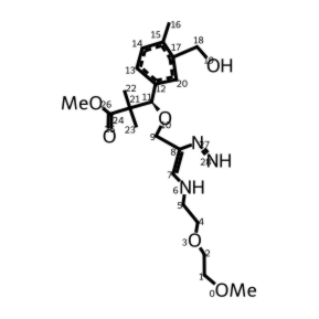 COCCOCCN/C=C(/CO[C@H](c1ccc(C)c(CO)c1)C(C)(C)C(=O)OC)N=N